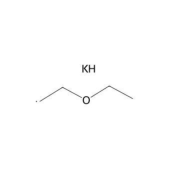 [CH2]COCC.[KH]